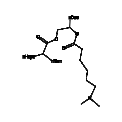 CCCCCCCCCCC(COC(=O)C(CCCCCCC)CCCCCCCCC)OC(=O)CCCCCN(C)C